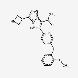 COc1ccccc1Oc1ccc(-c2[nH]c3c(C4CNC4)cnn3c2C(N)=O)cc1